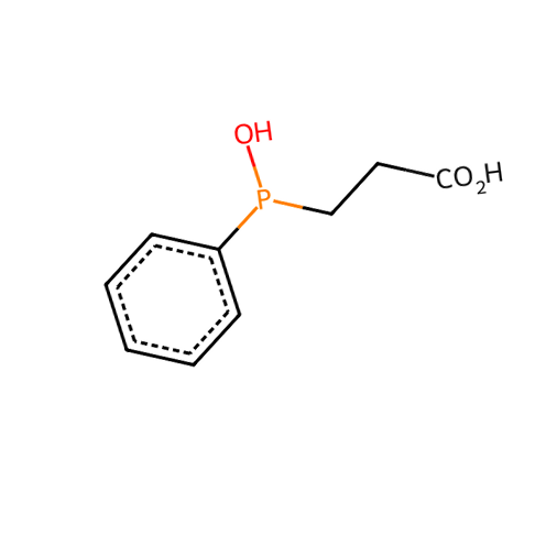 O=C(O)CCP(O)c1ccccc1